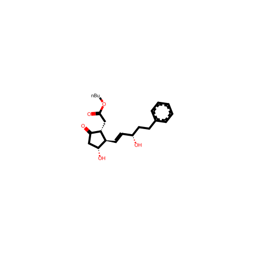 CCCCOC(=O)C[C@H]1C(=O)C[C@@H](O)[C@@H]1/C=C/[C@@H](O)CCc1ccccc1